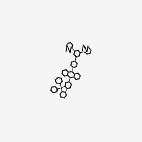 c1ccc(C2(c3ccccc3)c3ccccc3-c3ccc(-c4c5ccccc5c(-c5ccc(-c6cc(-c7ccccn7)cc(-c7ccccn7)c6)cc5)c5ccccc45)cc32)cc1